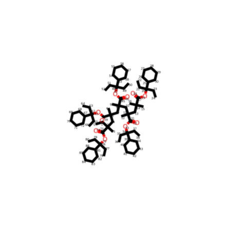 CCC(C)(CC(C)(CC(C)(CC(C)(CC(C)(C)C(=O)OC(CC)(CC)C1CCCCC1)C(=O)OC(CC)(CC)C1CCCCC1)C(=O)OC(CC)(CC)C1CCCCC1)C(=O)OC(CC)(CC)C1CCCCC1)C(=O)OC(CC)(CC)C1CCCCC1